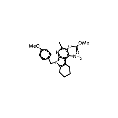 COC(=O)Oc1c(C)nc2c(c1N)c1c(n2Cc2ccc(OC)cc2)CCCC1